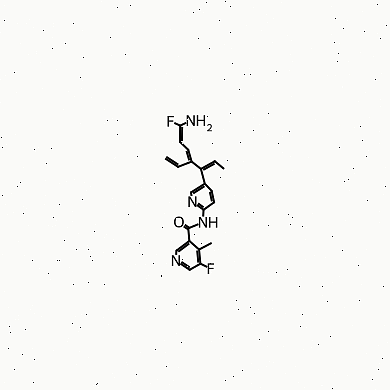 C=CC(=C\C=C(/N)F)/C(=C/C)c1ccc(NC(=O)c2cncc(F)c2C)nc1